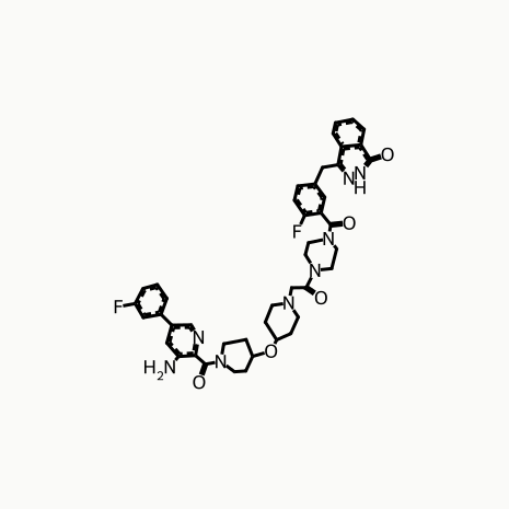 Nc1cc(-c2cccc(F)c2)cnc1C(=O)N1CCC(OC2CCN(CC(=O)N3CCN(C(=O)c4cc(Cc5n[nH]c(=O)c6ccccc56)ccc4F)CC3)CC2)CC1